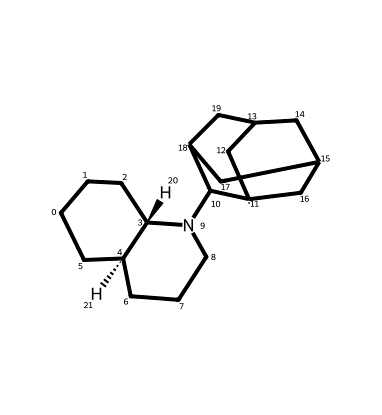 C1CC[C@H]2[C@H](C1)CCCN2C1[C]2CC3CC(C2)CC1C3